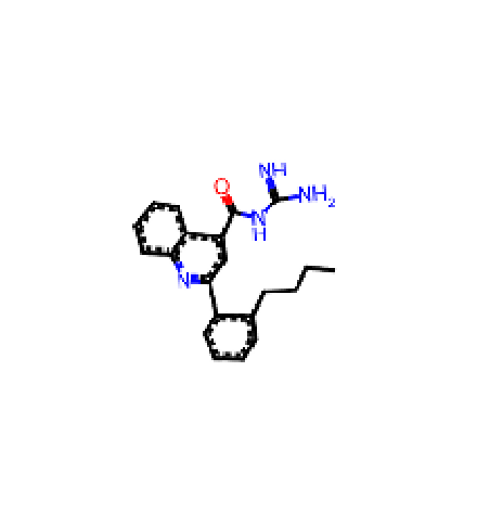 CCCCc1ccccc1-c1cc(C(=O)NC(=N)N)c2ccccc2n1